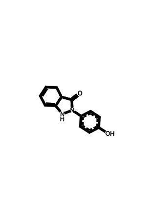 O=C1C2CC=CC=C2NN1c1ccc(O)cc1